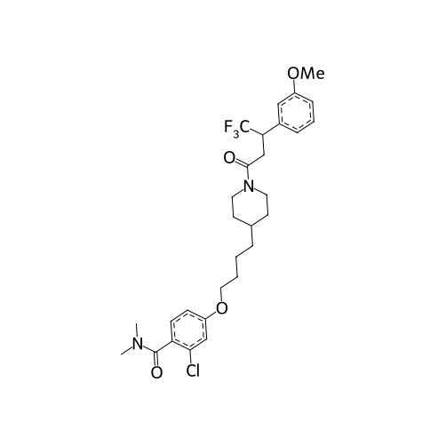 COc1cccc(C(CC(=O)N2CCC(CCCCOc3ccc(C(=O)N(C)C)c(Cl)c3)CC2)C(F)(F)F)c1